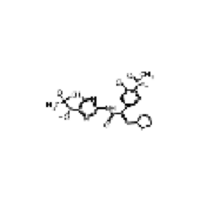 CC(C)(O)[C@H](O)c1cnc(NC(=O)/C(=C/C2CCCC2)c2ccc(S(C)(=O)=O)c(Cl)c2)cn1